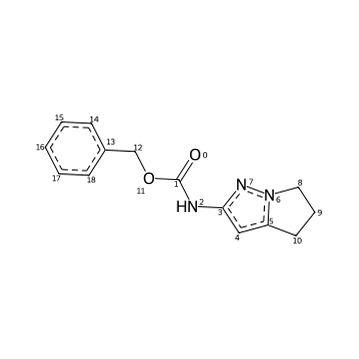 O=C(Nc1cc2n(n1)CCC2)OCc1ccccc1